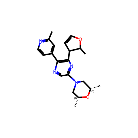 Cc1cc(-c2ncc(N3C[C@@H](C)O[C@@H](C)C3)nc2C2C=COC2C)ccn1